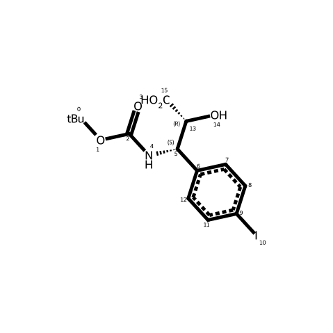 CC(C)(C)OC(=O)N[C@@H](c1ccc(I)cc1)[C@@H](O)C(=O)O